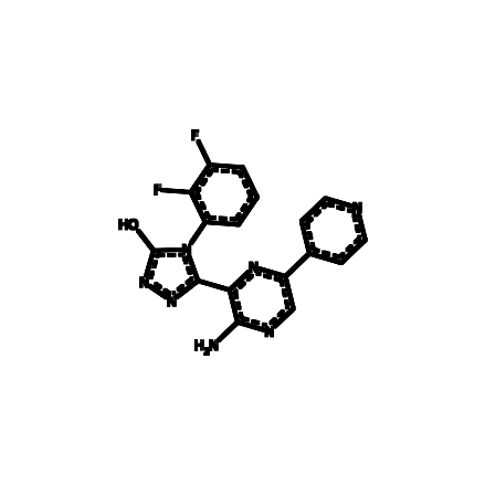 Nc1ncc(-c2ccncc2)nc1-c1nnc(O)n1-c1cccc(F)c1F